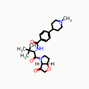 CN1CCC(c2ccc(C(=O)N[C@H](C(=O)N3CC[C@H]4OCC(=O)[C@H]43)C(C)(C)C)cc2)CC1